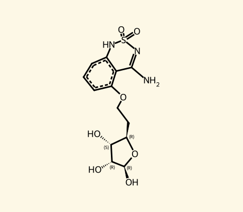 NC1=NS(=O)(=O)Nc2cccc(OCC[C@H]3O[C@@H](O)[C@H](O)[C@@H]3O)c21